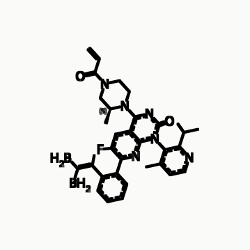 BC(B)=C(C)c1ccccc1-c1nc2c(cc1F)c(N1CCN(C(=O)C=C)C[C@@H]1C)nc(=O)n2-c1c(C)ccnc1C(C)C